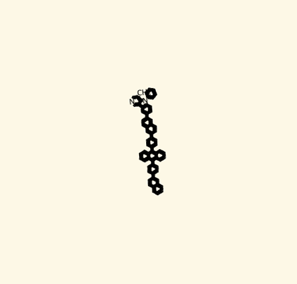 Cc1cncc2c3cc(-c4ccc5cc(-c6ccc(-c7c8ccccc8c(-c8ccc(-c9ccc%10ccccc%10c9)cc8)c8ccccc78)cc6)ccc5c4)ccc3n(-c3ccccc3)c12